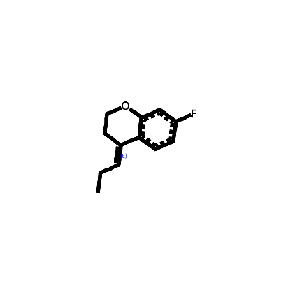 CC/C=C1\CCOc2cc(F)ccc21